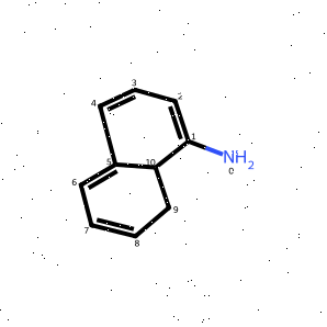 NC1=CC=CC2=CC=CCC12